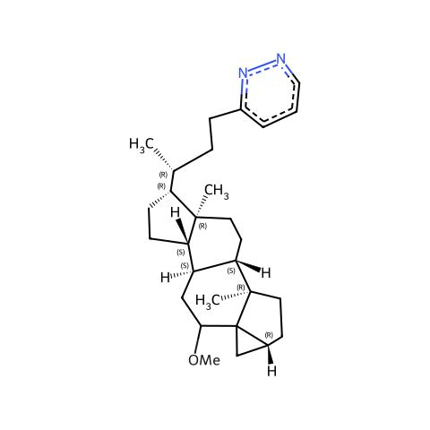 COC1C[C@H]2[C@@H]3CC[C@H]([C@H](C)CCc4cccnn4)[C@@]3(C)CC[C@@H]2[C@@]2(C)CC[C@@H]3CC132